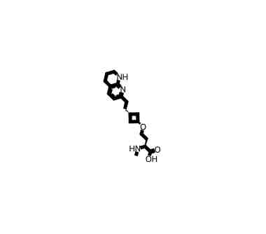 CN[C@@H](CCO[C@H]1C[C@H](CCc2ccc3c(n2)NCCC3)C1)C(=O)O